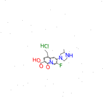 CCc1cc(C(=O)O)c(=O)n2cc(F)c(N3CCNC(C)C3)cc12.Cl